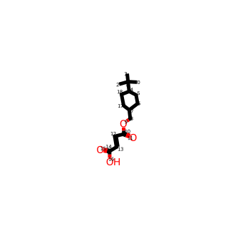 CC(C)(C)C1CCC(COC(=O)/C=C/C(=O)O)CC1